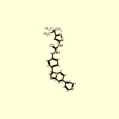 CC(C)(C)c1cc(NC(=O)NCc2ccc(-c3cnc4cc(-c5ccncc5)ccn34)cc2)on1